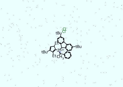 CCC1=[C](/[Zr+2](=[C](\C)c2ccccc2)[CH]2c3ccc(C(C)(C)C)cc3-c3cc(C(C)(C)C)ccc32)C(CC)C=C1C(C)(C)C.[Cl-].[Cl-]